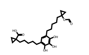 O=COC1(CCCCCc2cc(CCCCCC3(C(=O)O)CC3)c(O)c(O)c2O)CC1